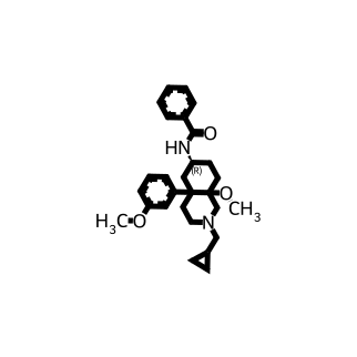 COc1cccc(C23CCN(CC4CC4)CC2(OC)CC[C@@H](NC(=O)c2ccccc2)C3)c1